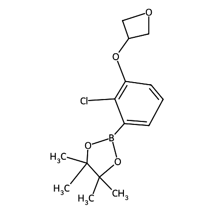 CC1(C)OB(c2cccc(OC3COC3)c2Cl)OC1(C)C